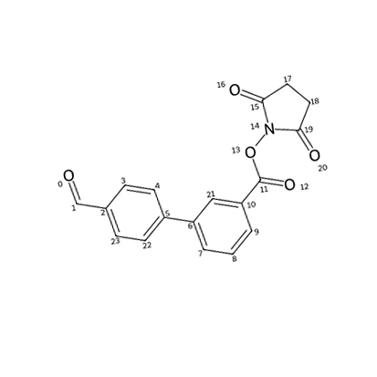 O=Cc1ccc(-c2cccc(C(=O)ON3C(=O)CCC3=O)c2)cc1